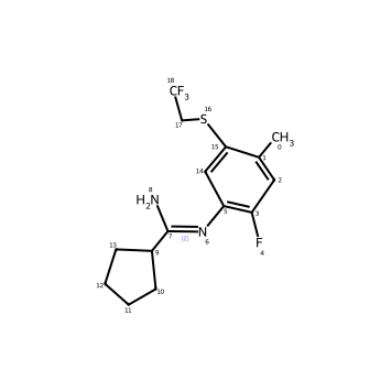 Cc1cc(F)c(/N=C(\N)C2CCCC2)cc1SCC(F)(F)F